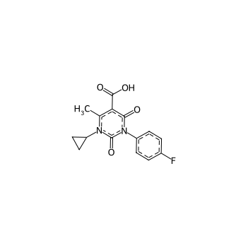 Cc1c(C(=O)O)c(=O)n(-c2ccc(F)cc2)c(=O)n1C1CC1